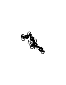 COC(=O)c1ccc(N(C(C)=O)c2ccc(C(=O)Nc3ccc(C=Cc4ccc(OC)cc4)cc3C(=O)O)cc2)cc1